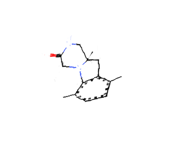 Cc1ccc(C)c2c1C[C@H]1CNC(=O)[C@@H](C)N21